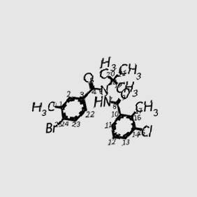 Cc1cc(C(=O)N(NC(=O)c2cccc(Cl)c2C)C(C)(C)C)ccc1Br